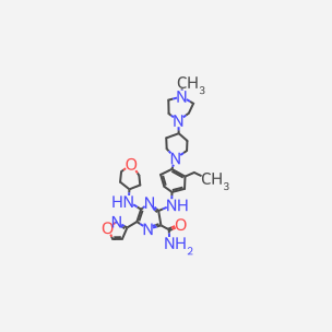 CCc1cc(Nc2nc(NC3CCOCC3)c(-c3ccon3)nc2C(N)=O)ccc1N1CCC(N2CCN(C)CC2)CC1